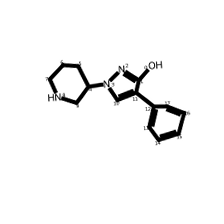 Oc1nn(C2CCCNC2)cc1-c1ccccc1